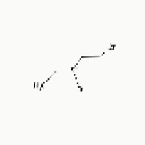 CC[S+]([O-])CCBr